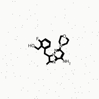 CC1N=C2C(N)=CC(N3CCOCC3)=NN2C1Cc1cccc(F)c1CO